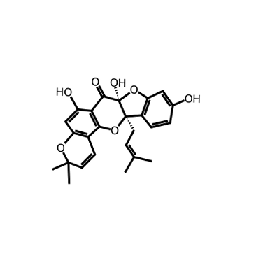 CC(C)=CC[C@]12Oc3c4c(cc(O)c3C(=O)[C@@]1(O)Oc1cc(O)ccc12)OC(C)(C)C=C4